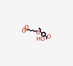 C=CC(OCCCCCCS(C)(=O)=O)c1ccc(C(C)=O)c(O)c1